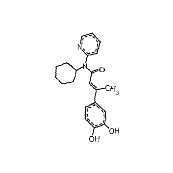 C/C(=C\C(=O)N(c1ccccn1)C1CCCCC1)c1ccc(O)c(O)c1